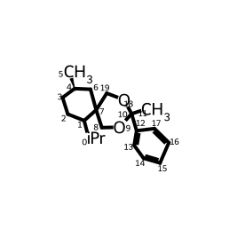 CC(C)C1CC[C@@H](C)CC12COC(C)(c1ccccc1)OC2